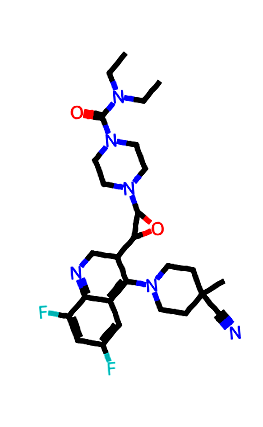 CCN(CC)C(=O)N1CCN(C2OC2C2CN=c3c(F)cc(F)cc3=C2N2CCC(C)(C#N)CC2)CC1